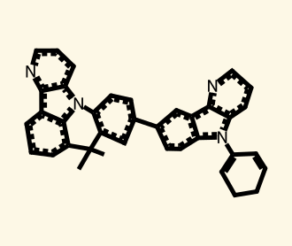 CC1(C)c2cc(-c3ccc4c(c3)c3ncccc3n4C3=CCCC=C3)ccc2-n2c3cccnc3c3cccc1c32